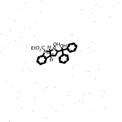 CCOC(=O)N1c2ccccc2[C@H]2CC(C(O)(c3ccccc3)c3ccccc3)N(O)[C@H]21